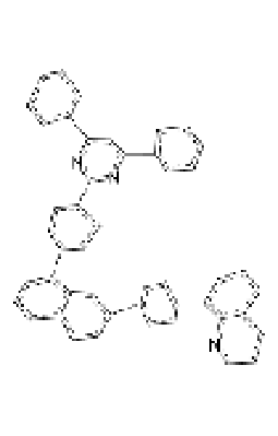 c1ccc(-c2cc(-c3ccccc3)nc(-c3ccc(-c4cccc5ccc(-c6ccc(-c7cccc8cccnc78)cc6)cc45)cc3)n2)cc1